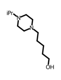 CC(C)N1CCN(CCCCCO)CC1